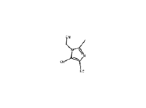 [C-]#[N+]c1nc(C)n(CC#N)c1[N+]#[C-]